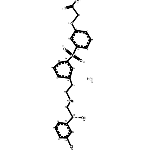 Cl.O=C(O)COc1cccc(S(=O)(=O)c2cccc(CCNC[C@H](O)c3cccc(Cl)c3)c2)c1